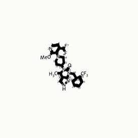 COc1nccc(C(F)F)c1N1CCC(N2C(=O)N(Cc3ccccc3C(F)(F)F)c3n[nH]cc3C2C)CC1